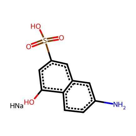 Nc1ccc2c(O)cc(S(=O)(=O)O)cc2c1.[NaH]